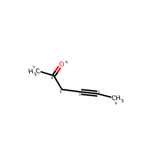 CC#CCC(C)=O